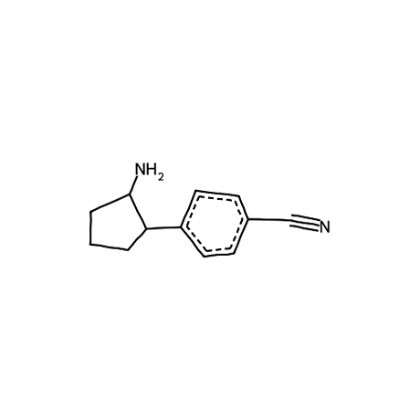 N#Cc1ccc(C2CCCC2N)cc1